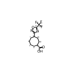 O=C(O)C1CCCCC(c2noc(C(F)(F)F)n2)CC1